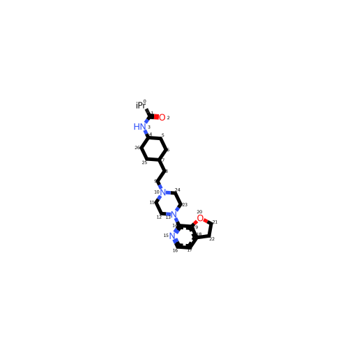 CC(C)C(=O)NC1CCC(CCN2CCN(c3nccc4c3OCC4)CC2)CC1